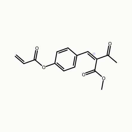 C=CC(=O)Oc1ccc(/C=C(/C(C)=O)C(=O)OC)cc1